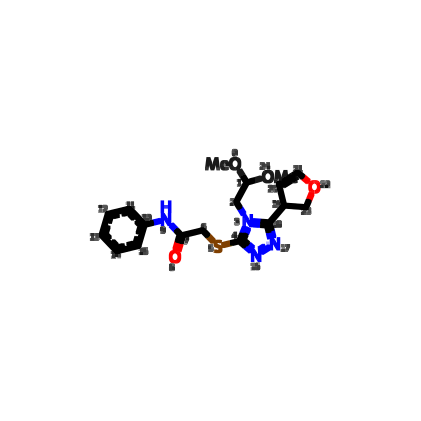 COC(Cn1c(SCC(=O)Nc2ccccc2)nnc1C1C=COC1)OC